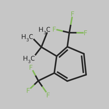 CC(C)(C)c1c(C(F)(F)F)cccc1C(F)(F)F